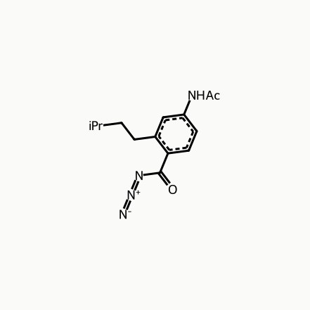 CC(=O)Nc1ccc(C(=O)N=[N+]=[N-])c(CCC(C)C)c1